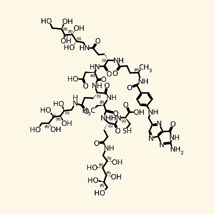 CC[C@@H](NC(=O)[C@H](CCC(=O)NC[C@H](O)[C@@H](O)[C@H](O)[C@H](O)CO)NC(=O)[C@@H](CC(=O)O)NC(=O)[C@H](CCC(=O)NC[C@H](O)[C@@H](O)[C@H](O)[C@H](O)CO)NC(=O)CC[C@@H](C)NC(=O)c1ccc(NCc2cnc3nc(N)[nH]c(=O)c3n2)cc1)C(=O)N[C@@H](CCC(=O)NC[C@H](O)[C@@H](O)[C@H](O)[C@H](O)CO)C(=O)N[C@H](CS)C(=O)O